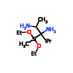 CCO[Si](C)(OCC)C(N)(C(C)C)C(C)N